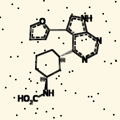 O=C(O)N[C@H]1CCC[C@H](c2ncnc3[nH]cc(-c4ccco4)c23)C1